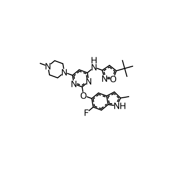 Cc1cc2cc(Oc3nc(Nc4cc(C(C)(C)C)on4)cc(N4CCN(C)CC4)n3)c(F)cc2[nH]1